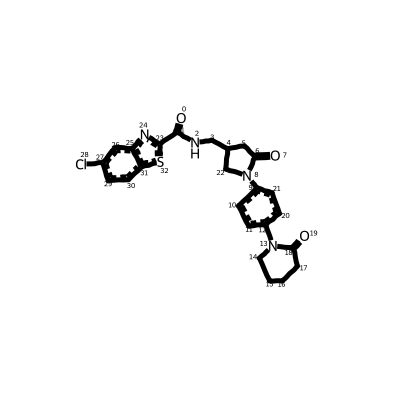 O=C(NCC1CC(=O)N(c2ccc(N3CCCCC3=O)cc2)C1)c1nc2cc(Cl)ccc2s1